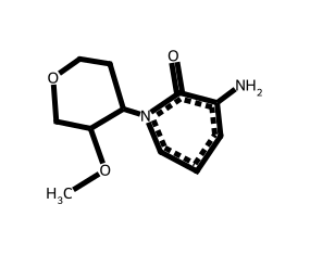 COC1COCCC1n1cccc(N)c1=O